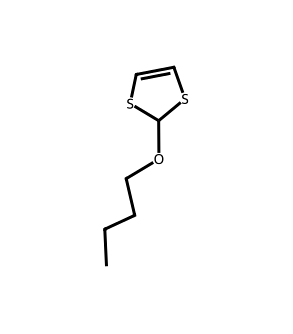 CCCCOC1SC=CS1